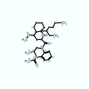 CCCCC(CC)C12CCCCC1C(OC)CC(C(=O)N1C[C@H](C)N(C(C)=O)c3ccccc31)N2